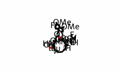 COc1cc2c(OC)cnc(O[C@@H]3C[C@H]4C(=O)N[C@]5(C(=O)NS(=O)(=O)C6(CF)CC6)C[C@H]5C=CCC[C@@H](C)C[C@@H](C)[C@H](NC(=O)C(C)(C)C)C(=O)N4C3)c2cc1F